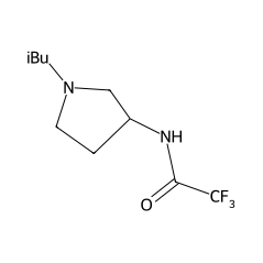 CCC(C)N1CCC(NC(=O)C(F)(F)F)C1